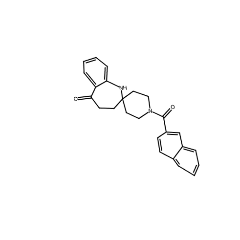 O=C1CCC2(CCN(C(=O)c3ccc4ccccc4c3)CC2)Nc2ccccc21